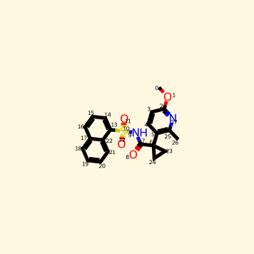 COc1ccc(C2(C(=O)NS(=O)(=O)c3cccc4ccccc34)CC2)c(C)n1